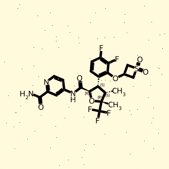 C[C@H]1[C@@H](c2ccc(F)c(F)c2OC2CS(=O)(=O)C2)[C@H](C(=O)Nc2ccnc(C(N)=O)c2)O[C@@]1(C)C(F)(F)F